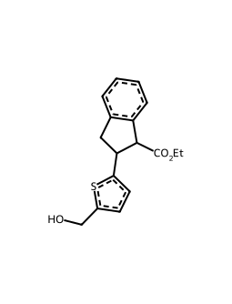 CCOC(=O)C1c2ccccc2CC1c1ccc(CO)s1